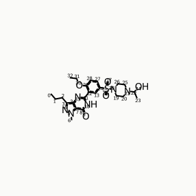 CCCc1nn(C)c2c(=O)[nH]c(-c3cc(S(=O)(=O)N4CCN(C(C)O)CC4)ccc3OCC)nc12